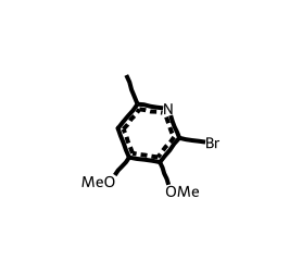 COc1cc(C)nc(Br)c1OC